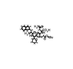 CC(C)(C)OC(=O)CC[C@H](NC(=O)C(NC(=O)[C@@H](N)Cc1ccc2ccccc2c1)C1CCCCO1)C(=O)N[C@@H](CC(N)=O)C(=O)O